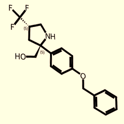 OC[C@@]1(c2ccc(OCc3ccccc3)cc2)C[C@H](C(F)(F)F)CN1